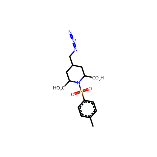 Cc1ccc(S(=O)(=O)N2C(C(=O)O)CC(CN=[N+]=[N-])CC2C(=O)O)cc1